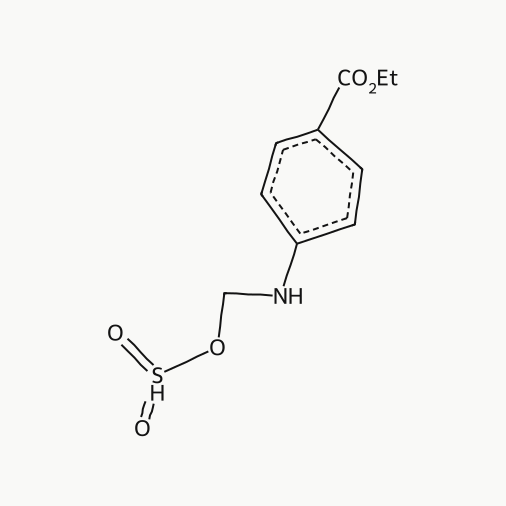 CCOC(=O)c1ccc(NCO[SH](=O)=O)cc1